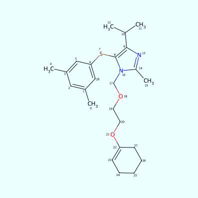 Cc1cc(C)cc(Sc2c(C(C)C)nc(C)n2COCCOC2=CCCCC2)c1